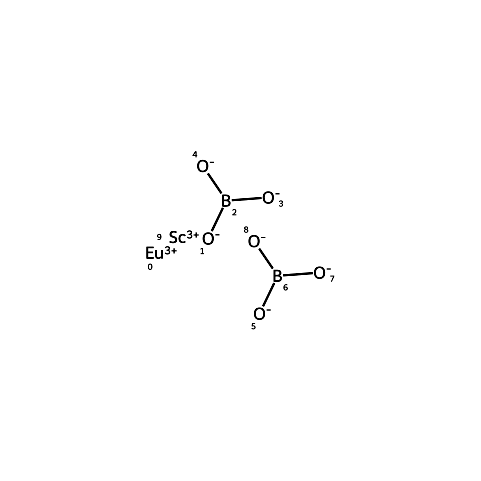 [Eu+3].[O-]B([O-])[O-].[O-]B([O-])[O-].[Sc+3]